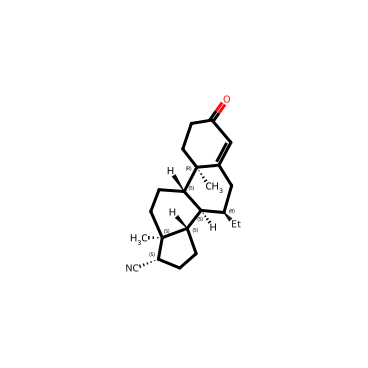 CC[C@@H]1CC2=CC(=O)CC[C@]2(C)[C@H]2CC[C@]3(C)[C@@H](C#N)CC[C@H]3[C@H]12